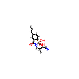 CCCc1ccc2c(c1)C(=O)N(CC(C)=CC#N)S2(O)O